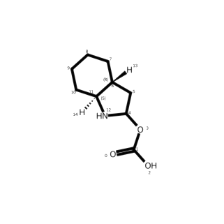 O=C(O)OC1C[C@H]2CCCC[C@@H]2N1